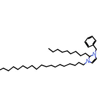 CCCCCCCCCCCCCCCCCCCN1C=CN(Cc2ccccc2)C1CCCCCCCCC